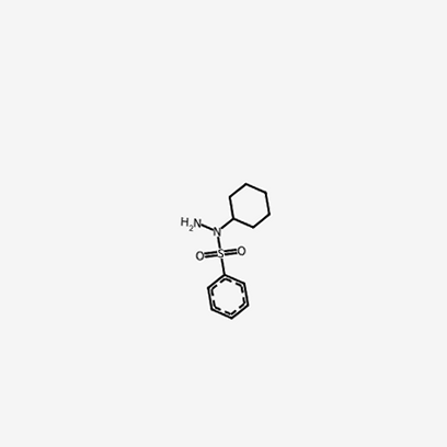 NN(C1CCCCC1)S(=O)(=O)c1ccccc1